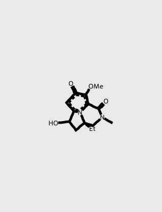 CCC12CC(O)c3cc(=O)c(OC)c(n31)C(=O)N(C)C2